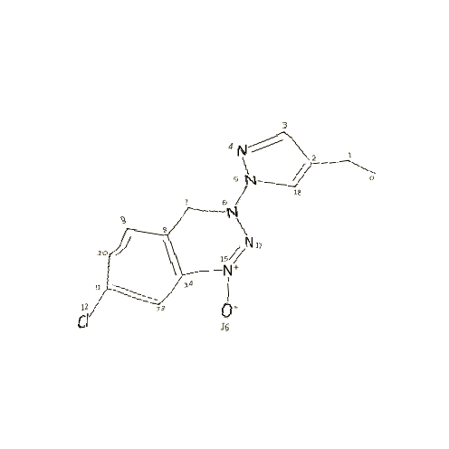 CCc1cnn(N2Cc3ccc(Cl)cc3[N+]([O-])=N2)c1